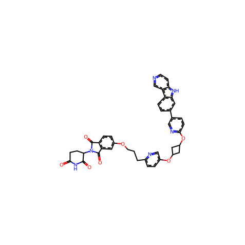 O=C1CCC(N2C(=O)c3ccc(OCCCc4ccc(OC5CC(Oc6ccc(-c7ccc8c(c7)[nH]c7ccncc78)cn6)C5)cn4)cc3C2=O)C(=O)N1